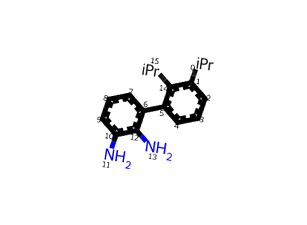 CC(C)c1cccc(-c2cccc(N)c2N)c1C(C)C